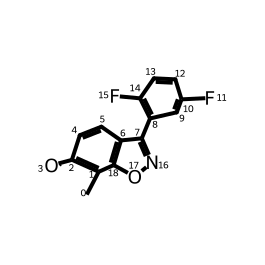 Cc1c([O])ccc2c(-c3cc(F)ccc3F)noc12